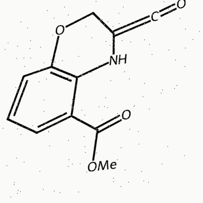 COC(=O)c1cccc2c1NC(=C=O)CO2